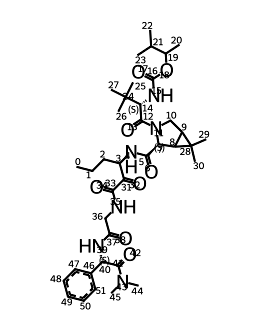 CCCC(NC(=O)[C@@H]1C2C(CN1C(=O)[C@@H](NC(=O)OC(C)C(C)C)C(C)(C)C)C2(C)C)C(=O)C(=O)NCC(=O)N[C@H](C(=O)N(C)C)c1ccccc1